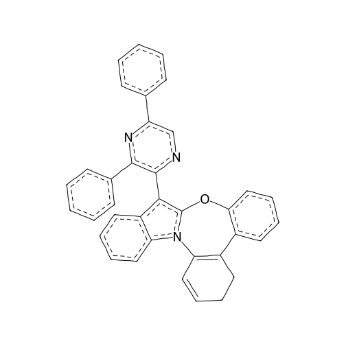 C1=CC2=C(CC1)c1ccccc1Oc1c(-c3ncc(-c4ccccc4)nc3-c3ccccc3)c3ccccc3n12